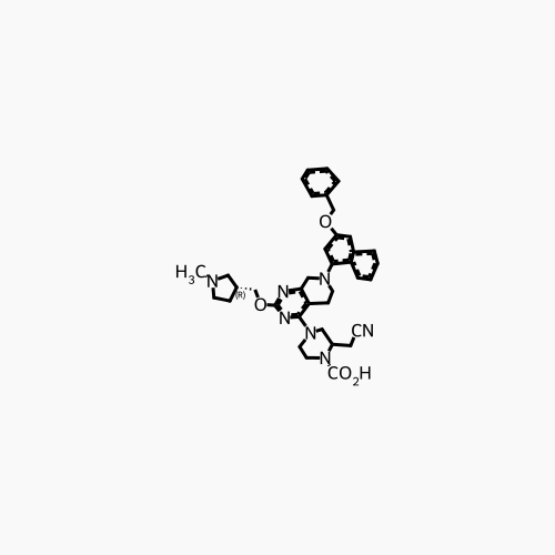 CN1CC[C@@H](COc2nc3c(c(N4CCN(C(=O)O)C(CC#N)C4)n2)CCN(c2cc(OCc4ccccc4)cc4ccccc24)C3)C1